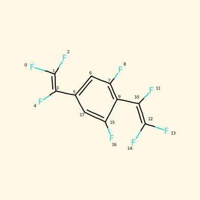 FC(F)=C(F)c1cc(F)c(C(F)=C(F)F)c(F)c1